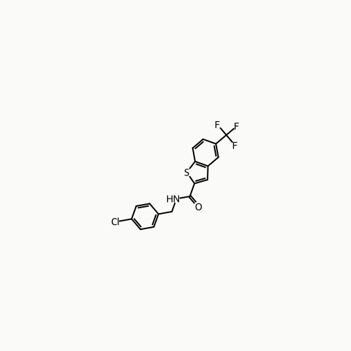 O=C(NCc1ccc(Cl)cc1)c1cc2cc(C(F)(F)F)ccc2s1